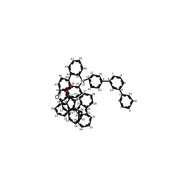 c1ccc(-c2cccc(-c3ccc(N(c4ccc(-c5ccccc5-n5c6ccccc6c6ccccc65)cc4)c4ccccc4-c4ccc5oc6cc7ccccc7cc6c5c4)cc3)c2)cc1